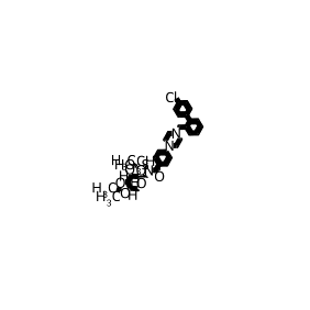 CC1(C)O[C@@H]2[C@@H](CO[C@@]3(CN(C(=O)c4ccc(N5CCN(Cc6ccccc6-c6ccc(Cl)cc6)CC5)cc4)S(=O)(=O)O)OC(C)(C)O[C@@H]23)O1